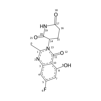 Cc1nc2cc(F)cc(O)c2c(=O)n1C1CCC(=O)NC1=O